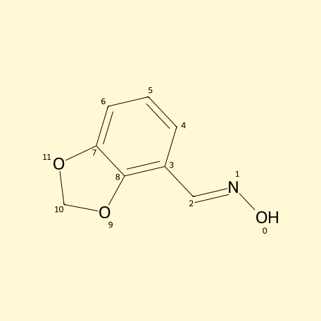 ON=Cc1cccc2c1OCO2